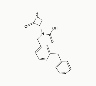 O=C1NC[C@@H]1N(Cc1cccc(Cc2ccccc2)c1)C(=O)O